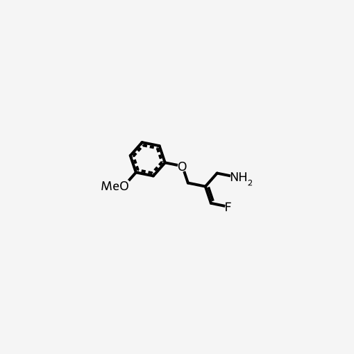 COc1cccc(OCC(=CF)CN)c1